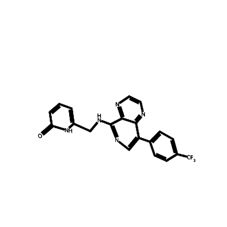 O=c1cccc(CNc2ncc(-c3ccc(C(F)(F)F)cc3)c3nccnc23)[nH]1